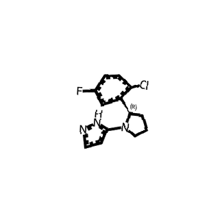 Fc1ccc(Cl)c([C@H]2CCCN2c2ccn[nH]2)c1